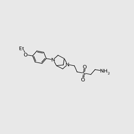 CCOc1ccc(N2CC3CC2CN3CCS(=O)(=O)CCN)cc1